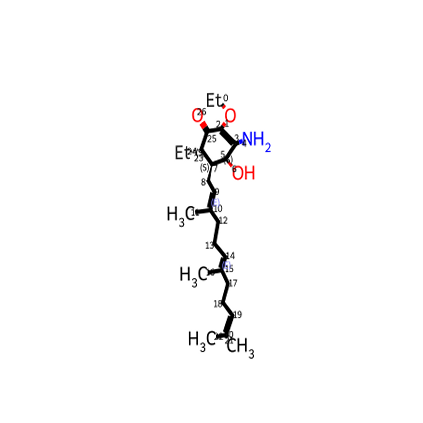 CCOC1=C(N)[C@@H](O)[C@@H](C/C=C(\C)CC/C=C(\C)CCC=C(C)C)[C@H](CC)C1=O